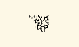 Cc1cc(NC(=O)c2[nH]cnc2C(N)=O)n(C)n1.Cc1ccc(-c2ncc[nH]2)c(C)c1